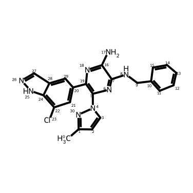 Cc1ccn(-c2nc(NCc3ccccc3)c(N)nc2-c2cc(Cl)c3[nH]ncc3c2)n1